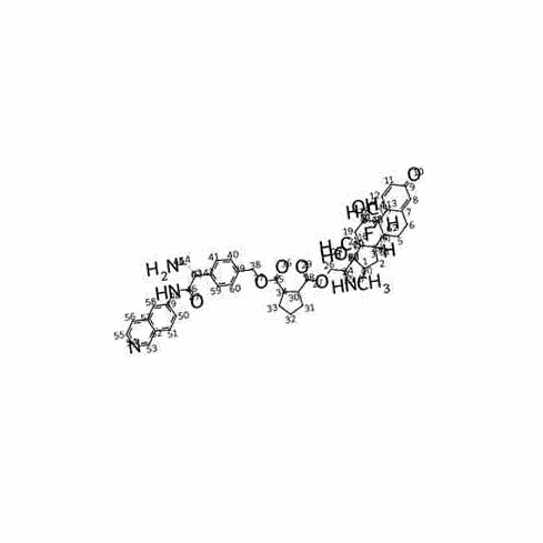 C[C@@H]1C[C@H]2[C@@H]3CCC4=CC(=O)C=C[C@]4(C)[C@@]3(F)[C@@H](O)C[C@]2(C)[C@@]1(O)C(=N)COC(=O)C1CCCC1C(=O)OCc1ccc([C@@H](CN)C(=O)Nc2ccc3cnccc3c2)cc1